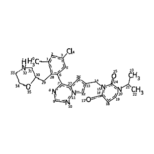 Cc1cc(Cl)cc(-c2ncnn3cc(Cn4c(=O)ccn(C(C)C)c4=O)cc23)c1CC1CNCCO1